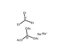 CC(=O)O[BH-](OC(C)=O)OC(C)=O.CC[BH-](CC)CC.[Na+].[Na+]